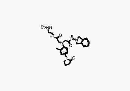 CCNCCNC(=O)CN(CC(=O)N(C)N1Cc2ccccc2C1)c1ccc(N2CCCC2=O)cc1C